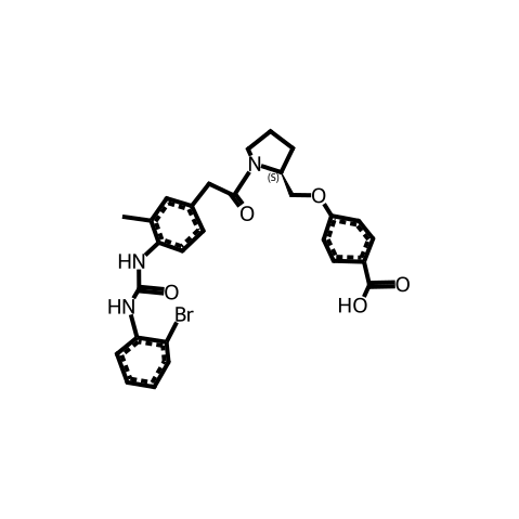 Cc1cc(CC(=O)N2CCC[C@H]2COc2ccc(C(=O)O)cc2)ccc1NC(=O)Nc1ccccc1Br